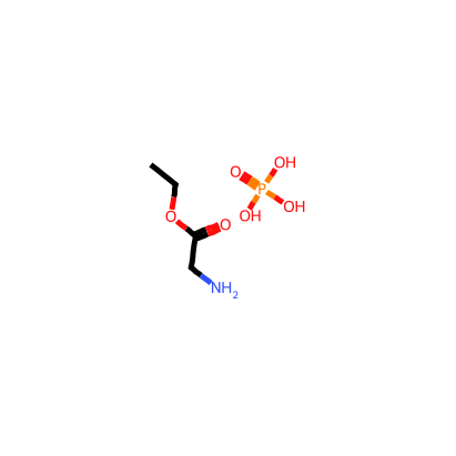 CCOC(=O)CN.O=P(O)(O)O